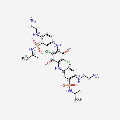 CC(NS(=O)(=O)c1cc(NC2=C(Cl)C(=O)C(Nc3ccc(NCCN)c(S(=O)(=O)NC(C)S(=O)(=O)O)c3)=C(Cl)C2=O)ccc1NCCN)S(=O)(=O)O